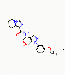 O=C(N[C@@H]1COCc2c1cnn2-c1cccc(OC(F)(F)F)c1)c1ncn2c1CCCC2